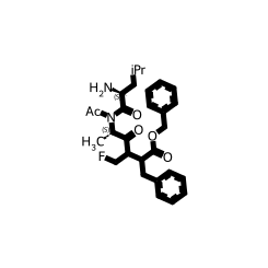 CC(=O)N(C(=O)[C@@H](N)CC(C)C)[C@@H](C)C(=O)C(CF)C(Cc1ccccc1)C(=O)OCc1ccccc1